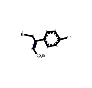 CCOC(=O)/C=C(/CBr)c1ccc(F)cc1